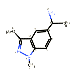 COc1nn(C)c2ccc(C(N)C(C)(C)C)cc12